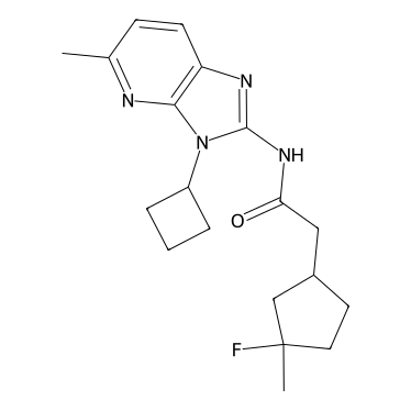 Cc1ccc2nc(NC(=O)CC3CCC(C)(F)C3)n(C3CCC3)c2n1